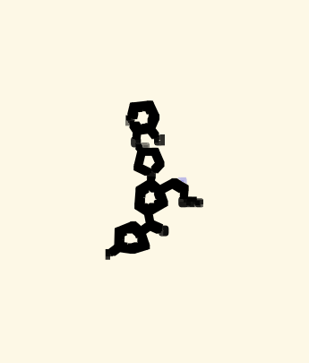 CO/C=C\c1cc(C(=O)c2ccc(F)cc2)ccc1N1CC[C@H](Oc2ncccc2Cl)C1